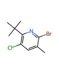 Cc1cc(Cl)c(C(C)(C)C)nc1Br